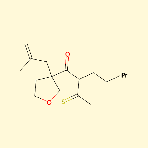 C=C(C)CC1(C(=O)C(CCC(C)C)C(C)=S)CCOC1